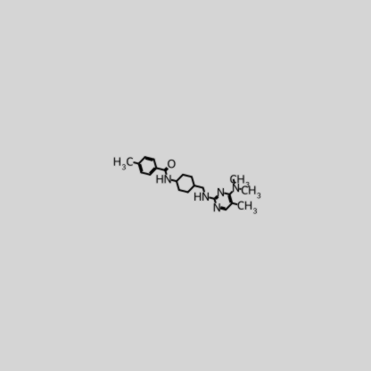 Cc1ccc(C(=O)NC2CCC(CNc3ncc(C)c(N(C)C)n3)CC2)cc1